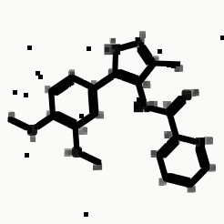 COc1ccc(-c2[nH]nc(C)c2NC(=O)c2ccccn2)cc1OC